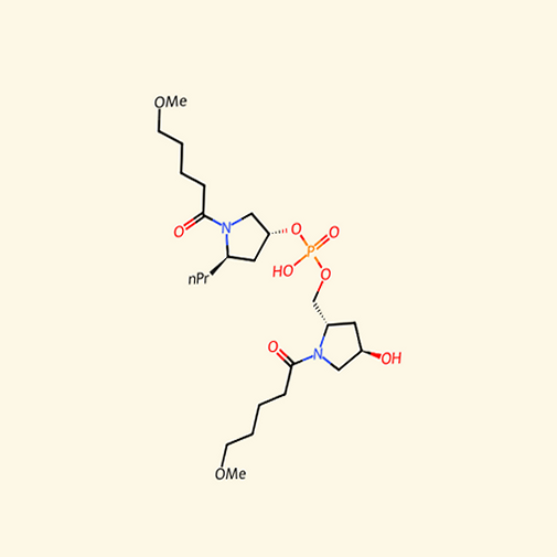 CCC[C@@H]1C[C@@H](OP(=O)(O)OC[C@@H]2C[C@@H](O)CN2C(=O)CCCCOC)CN1C(=O)CCCCOC